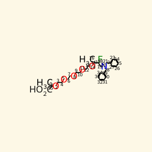 CC(OCCOCCOCCOCCOC(C)C(F)CN(Cc1ccccc1)Cc1ccccc1)C(=O)O